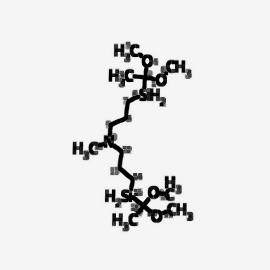 COC(C)(OC)[SiH2]CCCN(C)CCC[SiH2]C(C)(OC)OC